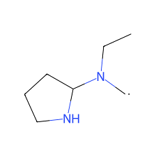 [CH2]N(CC)C1CCCN1